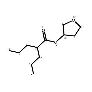 CCCC(CCC)C(=O)OC1CCOC1